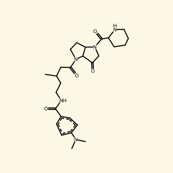 CC(CCNC(=O)c1ccc(N(C)C)cc1)CC(=O)N1CCC2C1C(=O)CN2C(=O)C1CCCCN1